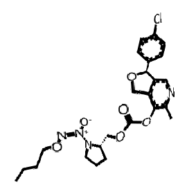 CCCCO/N=[N+](/[O-])N1CCC[C@H]1COC(=O)Oc1c(C)ncc2c1CO[C@H]2c1ccc(Cl)cc1